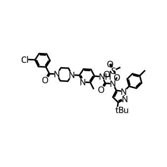 Cc1ccc(-n2nc(C(C)(C)C)cc2N(OS(C)(=O)=O)C(=O)Nc2ccc(N3CCN(C(=O)c4cccc(Cl)c4)CC3)nc2C)cc1